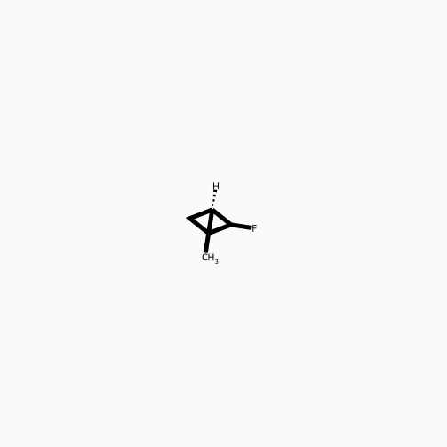 CC12C[C@H]1C2F